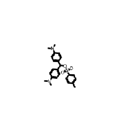 Cc1ccc(S(=O)(=O)OC(c2ccc(N(C)C)cc2)c2ccc(N(C)C)cc2)cc1